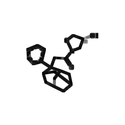 O=C(CC1(c2ccccc2)C2CC3CC(C2)CC1C3)N1C[C@@H](O)CO1